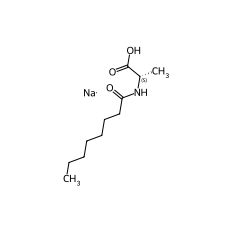 CCCCCCCC(=O)N[C@@H](C)C(=O)O.[Na]